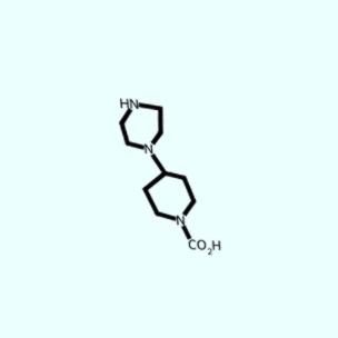 O=C(O)N1CCC(N2CCNCC2)CC1